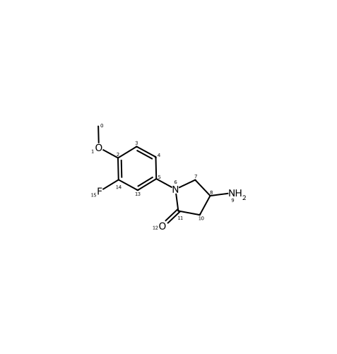 COc1ccc(N2CC(N)CC2=O)cc1F